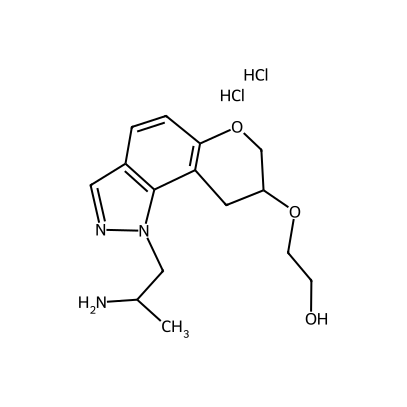 CC(N)Cn1ncc2ccc3c(c21)CC(OCCO)CO3.Cl.Cl